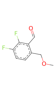 COCc1ccc(F)c(F)c1C=O